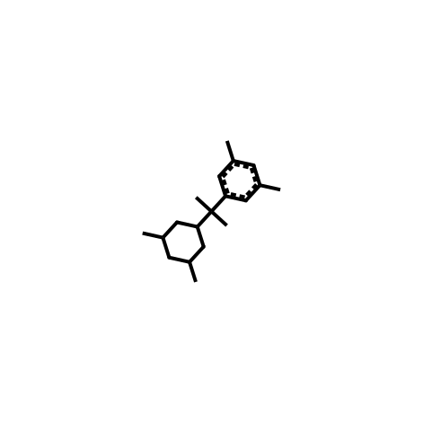 Cc1cc(C)cc(C(C)(C)C2CC(C)CC(C)C2)c1